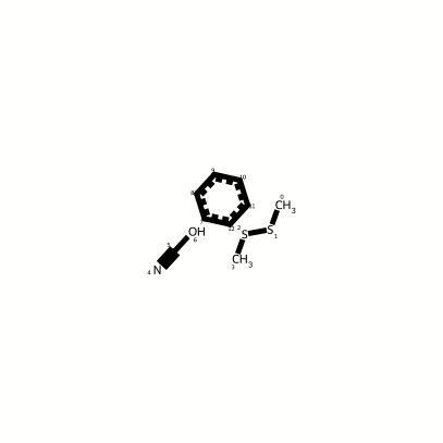 CSSC.N#CO.c1ccccc1